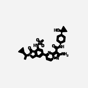 CC(C1CC1)N1Cc2cc(-c3ccn4nc(N)c(C(=O)N[C@H]5CC[C@H](C6(O)CC6)CC5)c4n3)cc(NS(C)(=O)=O)c2C1=O